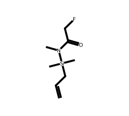 C=CC[Si](C)(C)N(C)C(=O)CF